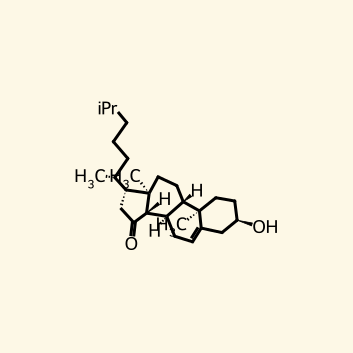 CC(C)CCC[C@@H](C)[C@H]1CC(=O)[C@H]2[C@@H]3CC=C4C[C@H](O)CC[C@]4(C)[C@H]3CC[C@]12C